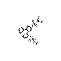 O=[N+]([O-])[O-].O=[N+]([O-])[O-].O=[N+]([O-])[O-].[Dy+3].c1cncc(-c2cccnc2-c2cccnc2)c1